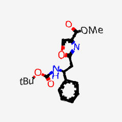 COC(=O)c1coc(CC(NC(=O)OC(C)(C)C)c2ccccc2)n1